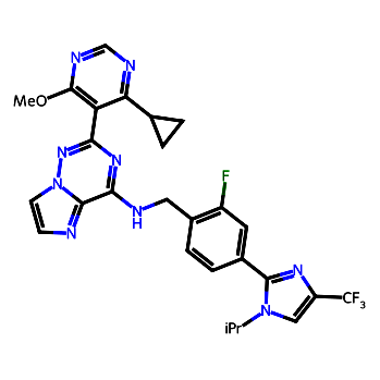 COc1ncnc(C2CC2)c1-c1nc(NCc2ccc(-c3nc(C(F)(F)F)cn3C(C)C)cc2F)c2nccn2n1